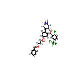 Fc1ccc(C(F)(F)F)cc1COC1CNCCC1c1ccc(OCCCOCc2ccccc2)cc1